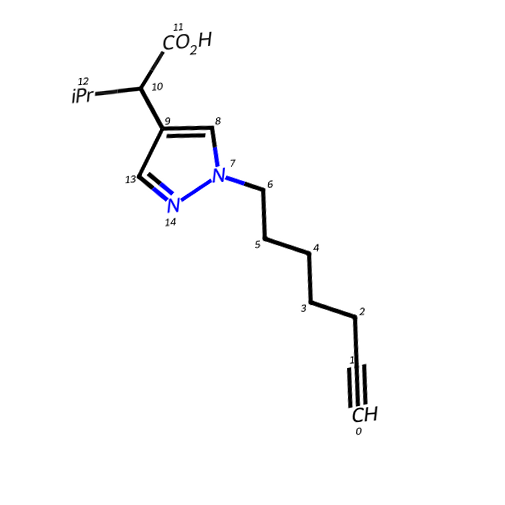 C#CCCCCCn1cc(C(C(=O)O)C(C)C)cn1